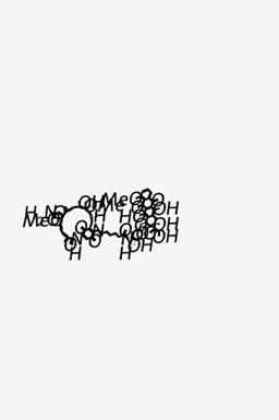 COc1cccc2c1C(=O)c1c(O)c3c(c(O)c1C2=O)C[C@](O)(C(=O)CO)C[C@H]3O[C@@H]1C[C@@H](NC(=O)CCCCCNC2=C3C[C@@H](C)C[C@H](OC)[C@@H](O)[C@@H](C)C=C(C)[C@H](OC(N)=O)[C@@H](OC)C=CC=C(C)C(=O)NC(=CC2=O)C3=O)[C@@H](O)[C@@H](C)O1